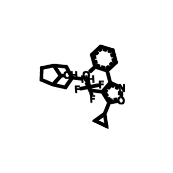 OC1C2CCC1CC(NCc1c(-c3ccccc3OC(F)(F)F)noc1C1CC1)C2